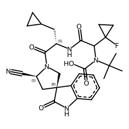 CC(C)(C)N(C(=O)O)C(C(=O)N[C@@H](CC1CC1)C(=O)N1C[C@]2(C[C@H]1C#N)C(=O)Nc1ccccc12)C1(F)CC1